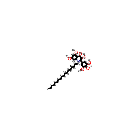 CCCCCCCCCCCCCCCCC=Cn1c(-c2cc(OC)c(OC)c(OC)c2)c(OC)c(=O)c2c(OC)cc(OC)cc21